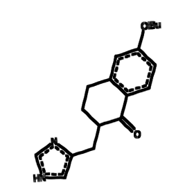 CC(C)COc1ccc2c(c1)CCC(Cc1c[nH]cn1)C2=O